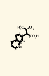 C[C@H](C(C(=O)O)c1ccc2cccnc2c1)C(F)(F)F